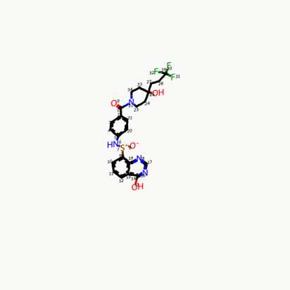 O=C(c1ccc(N[S+]([O-])c2cccc3c(O)ncnc23)cc1)N1CCC(O)(CCC(F)(F)F)CC1